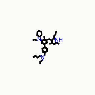 C=CCCN(CCC)Cc1ccc(-c2cc(CC3=C(C)C=C(C)N/C3=C\CC)c(C)c(N(CCC)C3CCCCC3)c2)cc1